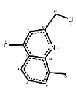 Cc1cccc2c(Cl)cc(CCl)nc12